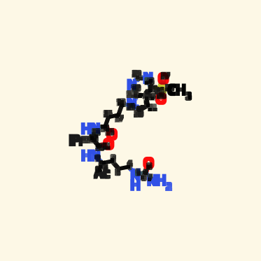 CC(=O)[C@H](CCCNC(N)=O)NC(=O)[C@@H](NC(=O)CCCn1ccc2c(S(C)(=O)=O)ncnc21)C(C)C